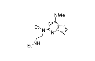 CCNCCN(CC)c1nc(NC)c2ccsc2n1